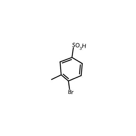 Cc1cc(S(=O)(=O)O)ccc1Br